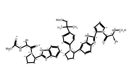 COCC(C)(C)c1ccc(N2C(c3ccc4nc(-c5cccn5C(=O)[C@@H](NC(=O)O)C(C)C)[nH]c4c3)CC[C@@H]2c2ccc3[nH]c(C4CCCN4C(=O)C(NC(=O)OC)C(C)C)nc3c2)cc1